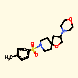 Cc1ccc(S(=O)(=O)N2CCC3(CC2)CC(N2CCOCC2)CO3)cc1